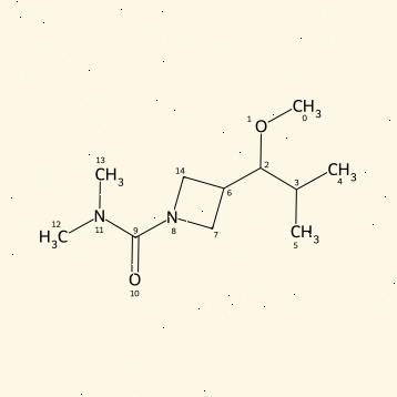 COC(C(C)C)C1CN(C(=O)N(C)C)C1